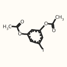 CC(=O)Oc1cc(I)cc(OC(C)=O)c1